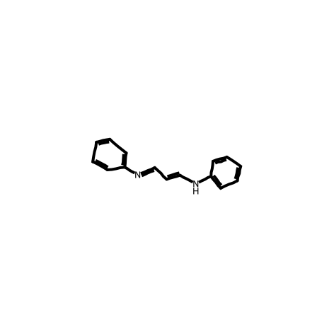 C(=CNc1ccccc1)C=Nc1ccccc1